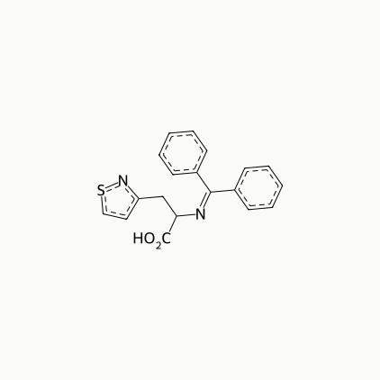 O=C(O)C(Cc1ccsn1)N=C(c1ccccc1)c1ccccc1